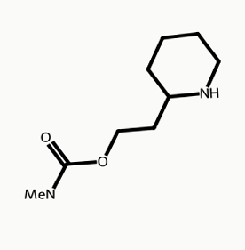 CNC(=O)OCCC1CCCCN1